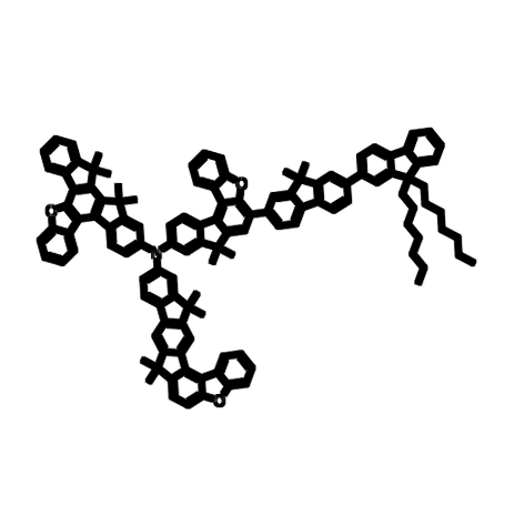 CCCCCCCC1(CCCCCCC)c2ccccc2-c2ccc(-c3ccc4c(c3)C(C)(C)c3cc(-c5cc6c(c7c5oc5ccccc57)-c5ccc(N(c7ccc8c(c7)C(C)(C)c7cc9c(cc7-8)C(C)(C)c7ccc8oc%10ccccc%10c8c7-9)c7ccc8c(c7)C(C)(C)c7c9c(c%10oc%11ccccc%11c%10c7-8)-c7ccccc7C9(C)C)cc5C6(C)C)ccc3-4)cc21